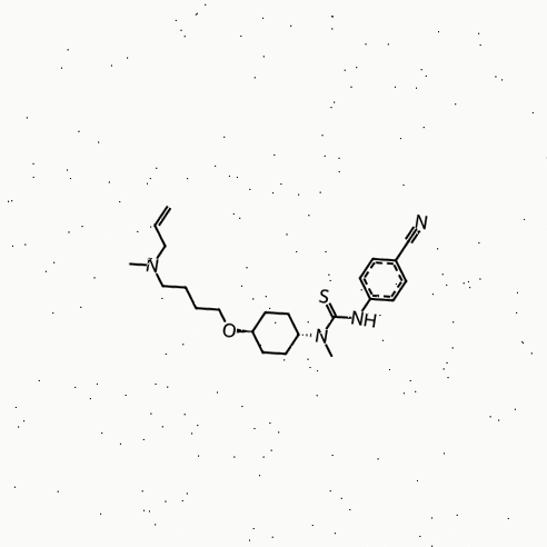 C=CCN(C)CCCCO[C@H]1CC[C@H](N(C)C(=S)Nc2ccc(C#N)cc2)CC1